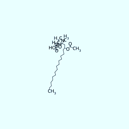 CCCCCCCCCCCCCCCCC(CC(C)(OP(=O)(O)O)N(C)C)OC(C)=O